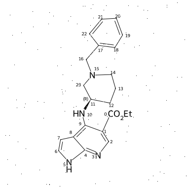 CCOC(=O)c1cnc2[nH]ccc2c1N[C@@H]1CCCN(Cc2ccccc2)C1